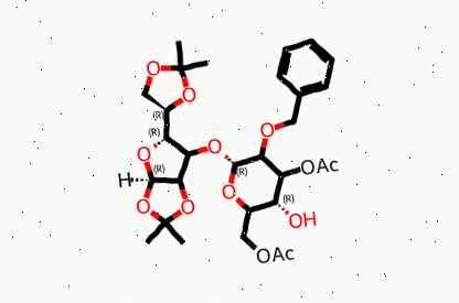 CC(=O)OCC1O[C@H](OC2C3OC(C)(C)O[C@H]3O[C@@H]2[C@H]2COC(C)(C)O2)C(OCc2ccccc2)C(OC(C)=O)[C@@H]1O